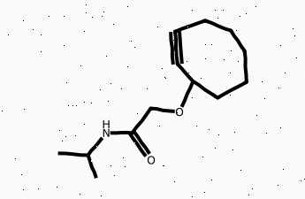 CC(C)NC(=O)COC1C#CCCCCC1